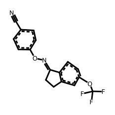 N#Cc1ccc(ON=C2CCc3cc(OC(F)(F)F)ccc32)cc1